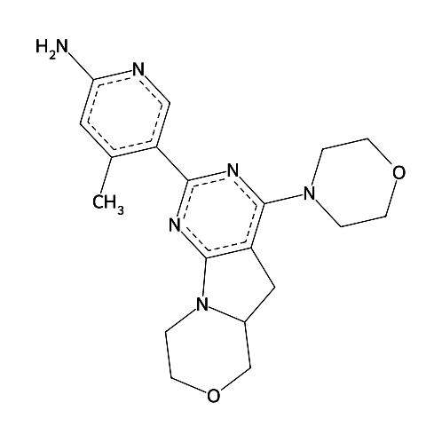 Cc1cc(N)ncc1-c1nc(N2CCOCC2)c2c(n1)N1CCOCC1C2